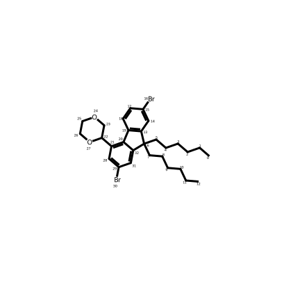 CCCCCCC1(CCCCCC)c2cc(Br)ccc2-c2c(C3COCCO3)cc(Br)cc21